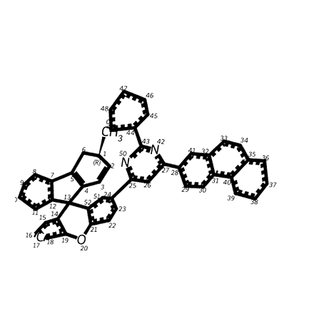 C[C@H]1C=CC2=C(C1)c1ccccc1C21c2ccccc2Oc2ccc(-c3cc(-c4ccc5c(ccc6ccccc65)c4)nc(-c4ccccc4)n3)cc21